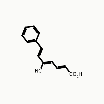 N#CC(C=Cc1ccccc1)=CC=CC(=O)O